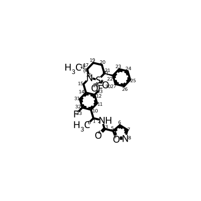 CC(NC(=O)c1ccno1)c1cc(F)c(CN2[C@H](C)CC[C@@H](c3ccccc3)S2(=O)=O)cc1F